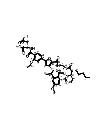 CCCCC[C@@H](C(=O)NCNC(=O)c1ccc(-c2ccc(C(=O)N[C@@H](CC(=O)O)C(=O)O)c(OCC)c2)o1)[C@@H](CC)N(C=O)OC(=O)c1ccc(OC)cc1C(C)C